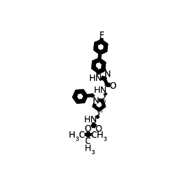 CC(C)(C)OC(=O)NC[C@H]1C[C@@H](CNC(=O)c2nc3cc(-c4ccc(F)cc4)ccc3[nH]2)N(Cc2ccccc2)C1